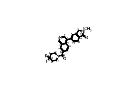 CN1Cc2cc(-c3cncc4cc(C(=O)N5CCC(F)(F)CC5)ccc34)ccc2C1=O